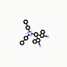 N#Cc1ccc(-c2ccc(-c3nc(-c4ccc(-c5ccccc5)cc4)nc(-c4ccc(-c5ccccc5)cc4)n3)cc2-c2ccc(C#N)c3ccccc23)c2ccccc12